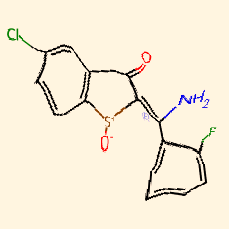 N/C(=C1\C(=O)c2cc(Cl)ccc2[S+]1[O-])c1ccccc1F